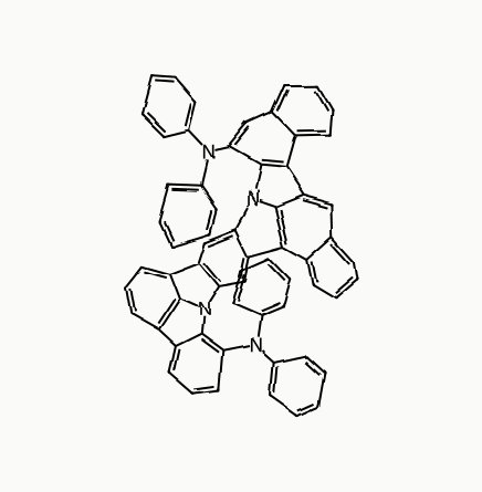 c1ccc(N(c2ccccc2)c2cccc3c4cccc5c6cc7c(cc6n(c23)c54)c2c3ccccc3cc3c4c5ccccc5cc(N(c5ccccc5)c5ccccc5)c4n7c32)cc1